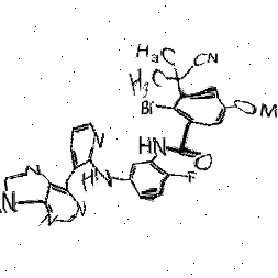 COc1cc(C(=O)Nc2cc(Nc3ncccc3-c3ncnc4[nH]cnc34)ccc2F)c(Br)c(C(C)(C)C#N)c1